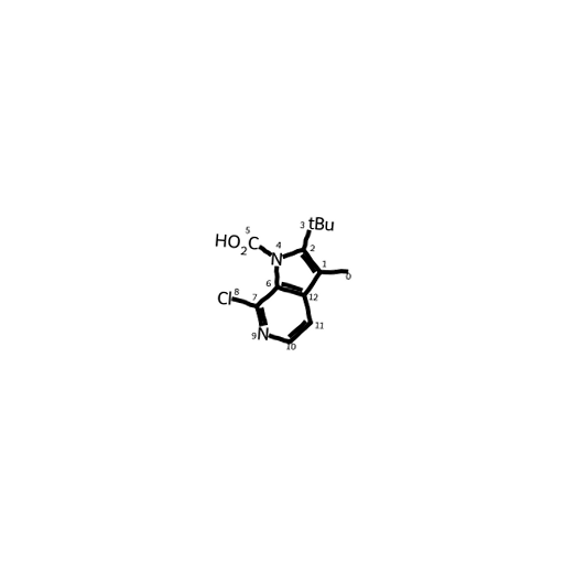 Cc1c(C(C)(C)C)n(C(=O)O)c2c(Cl)nccc12